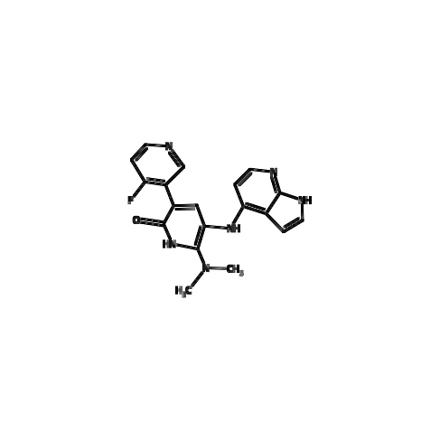 CN(C)c1[nH]c(=O)c(-c2cnccc2F)cc1Nc1ccnc2[nH]ccc12